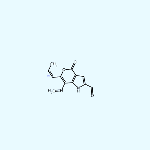 C=Nc1c(/C=C\C)oc(=O)c2cc(C=O)[nH]c12